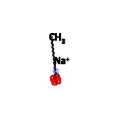 CCCCCCCCCCCCCCCC/C=C/C=C/OS(=O)(=O)[O-].[Na+]